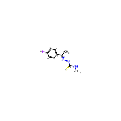 CNC(=S)N/N=C(\C)c1ccc(I)cc1